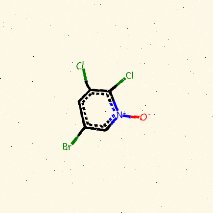 [O-][n+]1cc(Br)cc(Cl)c1Cl